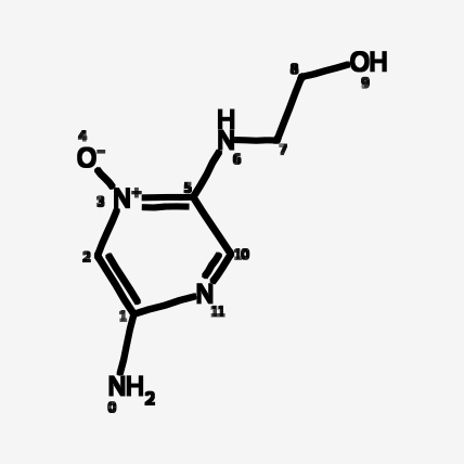 Nc1c[n+]([O-])c(NCCO)cn1